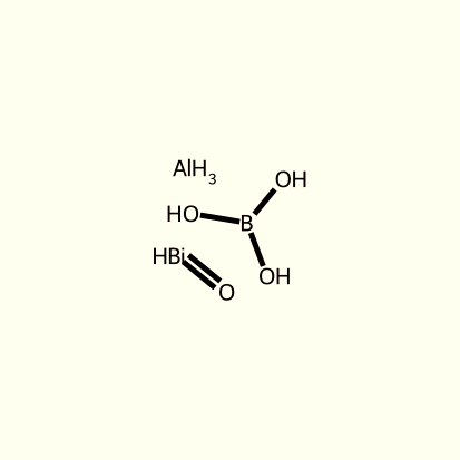 OB(O)O.[AlH3].[O]=[BiH]